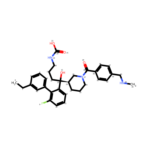 CCc1cccc(-c2c(F)cccc2C(O)(CCCNC(=O)O)[C@@H]2CCCN(C(=O)c3ccc(CNC)cc3)C2)c1